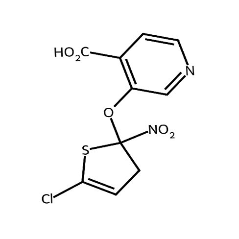 O=C(O)c1ccncc1OC1([N+](=O)[O-])CC=C(Cl)S1